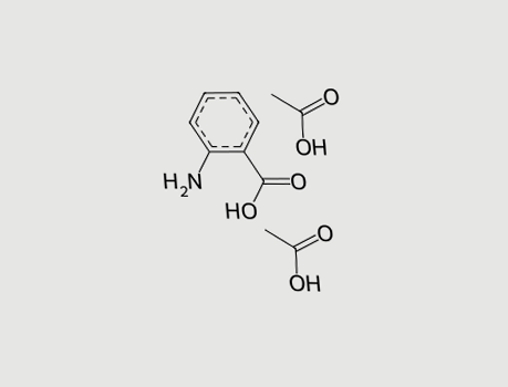 CC(=O)O.CC(=O)O.Nc1ccccc1C(=O)O